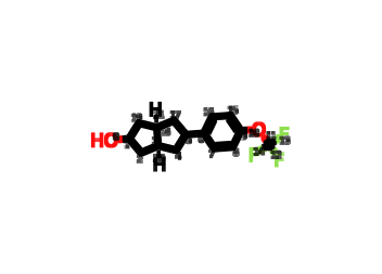 OC1C[C@@H]2CC(c3ccc(OC(F)(F)F)cc3)C[C@@H]2C1